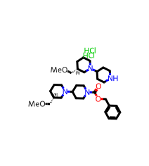 COC[C@@H]1CCCN(C2CCN(C(=O)OCc3ccccc3)CC2)C1.COC[C@@H]1CCCN(C2CCNCC2)C1.Cl.Cl